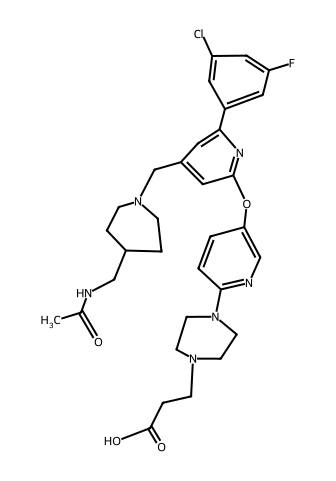 CC(=O)NCC1CCN(Cc2cc(Oc3ccc(N4CCN(CCC(=O)O)CC4)nc3)nc(-c3cc(F)cc(Cl)c3)c2)CC1